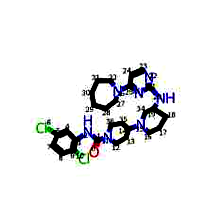 O=C(Nc1cc(Cl)ccc1Cl)N1CCC(N2CCCC(Nc3nccc(N4CCCCCC4)n3)C2)CC1